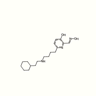 O/N=C/c1nc(CCCCNCCC2CCCCC2)ccc1O